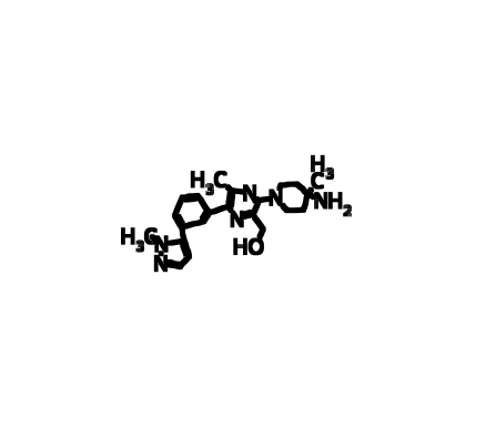 Cc1nc(N2CCC(C)(N)CC2)c(CO)nc1-c1cccc(-c2ccnn2C)c1